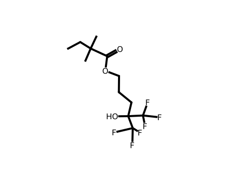 CCC(C)(C)C(=O)OCCCC(O)(C(F)(F)F)C(F)(F)F